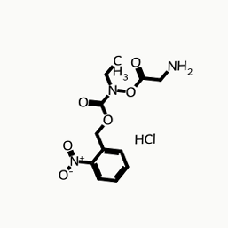 CCN(OC(=O)CN)C(=O)OCc1ccccc1[N+](=O)[O-].Cl